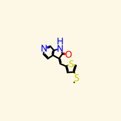 CSc1csc(C=C2C(=O)Nc3cnccc32)c1